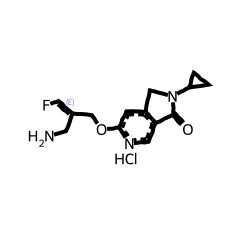 Cl.NC/C(=C\F)COc1cc2c(cn1)C(=O)N(C1CC1)C2